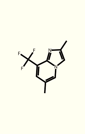 Cc1cc(C(F)(F)F)c2nc(C)cn2c1